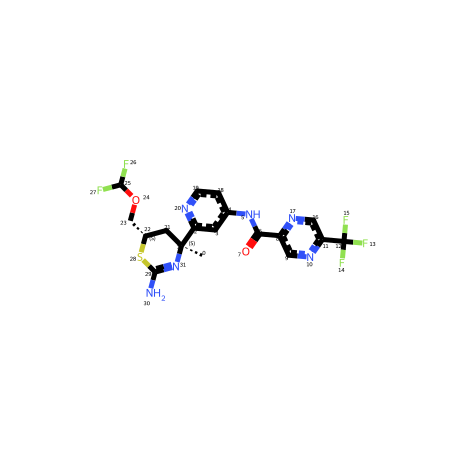 C[C@@]1(c2cc(NC(=O)c3cnc(C(F)(F)F)cn3)ccn2)C[C@@H](COC(F)F)SC(N)=N1